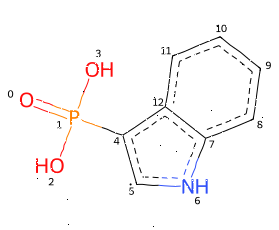 O=P(O)(O)c1[c][nH]c2ccccc12